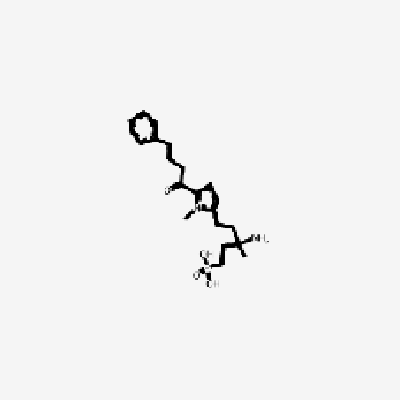 Cn1c(CCC(C)(N)CCP(=O)(O)O)ccc1C(=O)CCCc1ccccc1